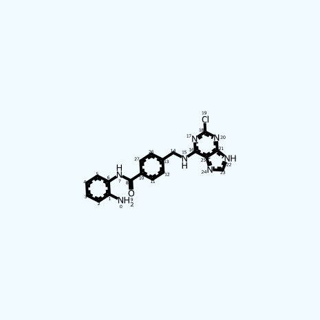 Nc1ccccc1NC(=O)c1ccc(CNc2nc(Cl)nc3[nH]cnc23)cc1